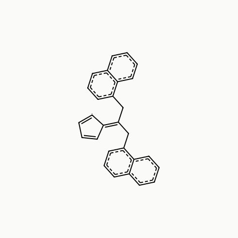 [C]1=CC=CC1=C(Cc1cccc2ccccc12)Cc1cccc2ccccc12